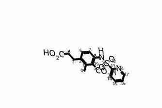 Cc1c(CCC(=O)O)ccc(NS(=O)(=O)c2ccccn2)c1C(=O)O